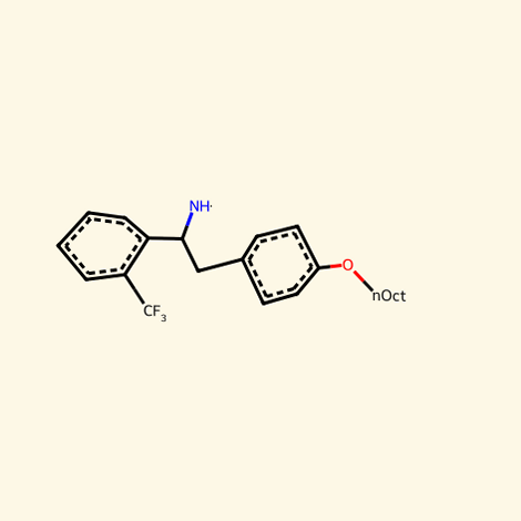 CCCCCCCCOc1ccc(CC([NH])c2ccccc2C(F)(F)F)cc1